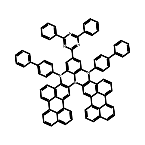 c1ccc(-c2ccc(N3c4cc(-c5nc(-c6ccccc6)nc(-c6ccccc6)n5)cc5c4B(c4cc6c7cccc8cccc(c9cccc(c43)c96)c87)c3cc4c6cccc7cccc(c8cccc(c3N5c3ccc(-c5ccccc5)cc3)c84)c76)cc2)cc1